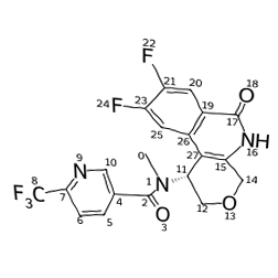 CN(C(=O)c1ccc(C(F)(F)F)nc1)[C@H]1COCc2[nH]c(=O)c3cc(F)c(F)cc3c21